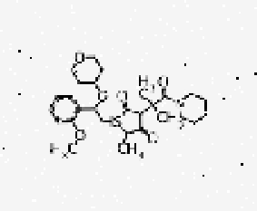 COc1ccccc1C(C[SH]1C(=O)C(C(C)(C)C(=O)N2CCCCC2)C(=O)C1C)OC1CCOCC1